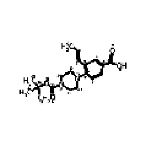 CC=Cc1cc(C(=O)O)ccc1N1CCN(C(=O)OC(C)(C)C)CC1